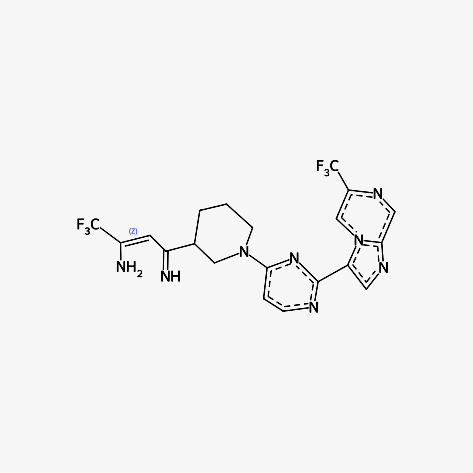 N=C(/C=C(\N)C(F)(F)F)C1CCCN(c2ccnc(-c3cnc4cnc(C(F)(F)F)cn34)n2)C1